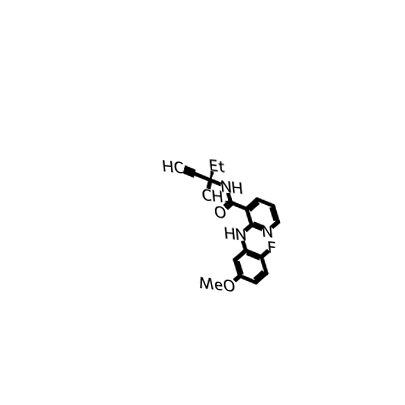 C#C[C@](C)(CC)NC(=O)c1cccnc1Nc1cc(OC)ccc1F